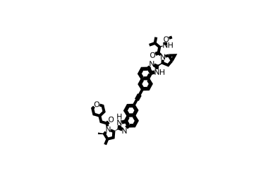 CON[C@H](C(=O)N1C2CC2C[C@H]1c1nc2ccc3cc(C#Cc4ccc5c(ccc6nc([C@@H]7CC(C)[C@@H](C)N7C(=O)CC7CCOCC7)[nH]c65)c4)ccc3c2[nH]1)C(C)C